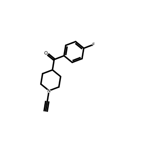 C#CN1CCC(C(=O)c2ccc(F)cc2)CC1